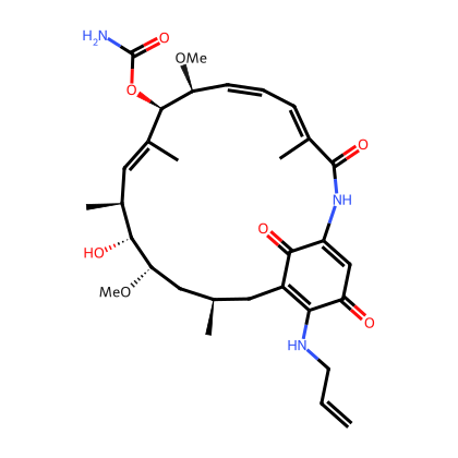 C=CCNC1=C2C[C@@H](C)C[C@H](OC)[C@H](O)[C@@H](C)/C=C(\C)[C@@H](OC(N)=O)[C@@H](OC)/C=C\C=C(/C)C(=O)NC(=CC1=O)C2=O